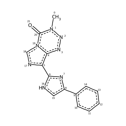 Cn1nnc2c(-c3nc(-c4ccccc4)c[nH]3)ncn2c1=O